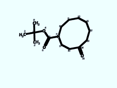 CC(C)(C)OC(=O)N1CCCCCCC(=O)CC1